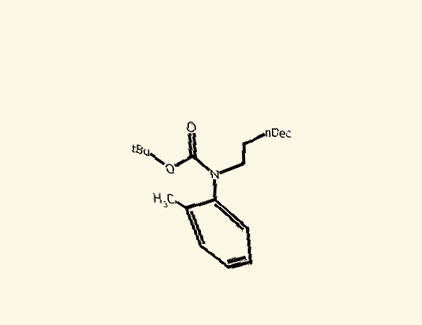 CCCCCCCCCCCCN(C(=O)OC(C)(C)C)c1ccccc1C